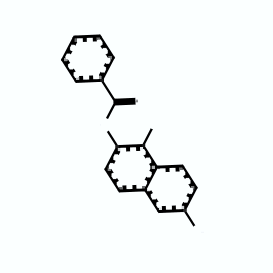 O=C(Oc1ccc2cc(O)ccc2c1F)c1ccccc1